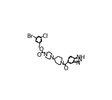 O=C(OCc1cc(Cl)cc(Br)c1)N1CCN(C2CCN(C(=O)c3ccc4[nH]nnc4c3)CC2)CC1